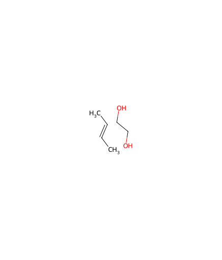 CC=CC.OCCO